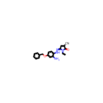 C=CN1C(=O)C(C#N)=C/C1=N/Nc1ccc(OCc2ccccc2)cc1N